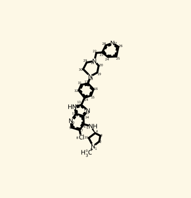 CN1CC[C@H](Nc2c(Cl)cnc3[nH]c(-c4ccc(N5CCN(Cc6cccnc6)CC5)cc4)nc23)C1